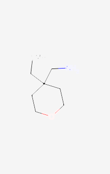 CSCC1(CN)CCOCC1